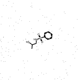 CC(S)CNS(=O)(=O)c1ccccc1